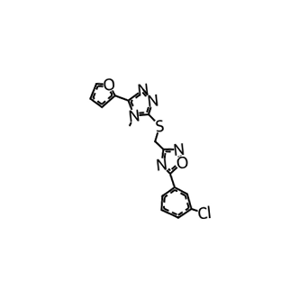 Cn1c(SCc2noc(-c3cccc(Cl)c3)n2)nnc1-c1ccco1